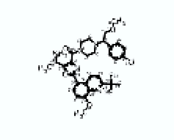 COCC(c1ccc(Cl)cc1)N1CCN(C(=O)c2nc(-c3ccc(OC)c4nc(C(F)(F)F)ccc34)oc2[C@H](C)N)CC1